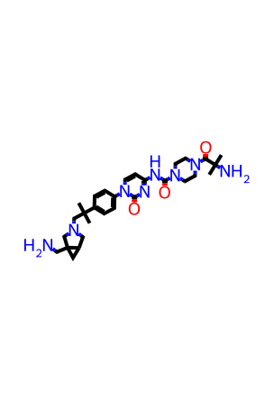 CC(C)(N)C(=O)N1CCN(C(=O)Nc2ccn(-c3ccc(C(C)(C)CN4CC5CC5(CN)C4)cc3)c(=O)n2)CC1